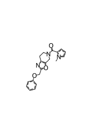 Cn1cccc1C(=O)N1CCc2nc(COc3ccccc3)oc2C1